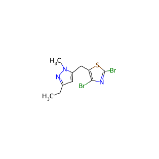 CCc1cc(Cc2sc(Br)nc2Br)n(C)n1